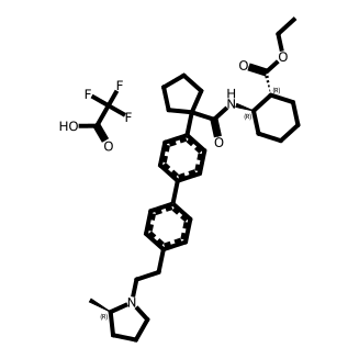 CCOC(=O)[C@@H]1CCCC[C@H]1NC(=O)C1(c2ccc(-c3ccc(CCN4CCC[C@H]4C)cc3)cc2)CCCC1.O=C(O)C(F)(F)F